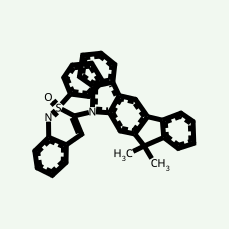 CC1(C)c2ccccc2-c2cc3c4ccccc4n(C4=Cc5ccccc5N=S4(=O)c4ccccc4)c3cc21